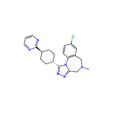 CN1Cc2cc(Cl)ccc2-n2c(nnc2[C@H]2CC[C@H](c3ncccn3)CC2)C1